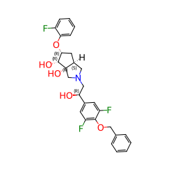 O[C@@H]1[C@H](Oc2ccccc2F)C[C@H]2CN(C[C@H](O)c3cc(F)c(OCc4ccccc4)c(F)c3)C[C@]21O